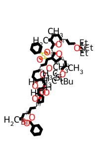 C=C(Br)C[C@@H](CC[C@@]12CC3O[C@H]4C(O1)[C@H]1O[C@@H](CC(=O)C(C5[C@H](CC6O[C@@H](CCCO[Si](CC)(CC)CC)C[C@@H](C)C6=C)O[C@H](C[C@H](C)CO[Si](C)(C)C(C)(C)C)[C@@H]5C)S(=O)(=O)c5ccccc5)CC[C@@H]1O[C@H]4[C@H]3O2)OC(=O)c1ccccc1